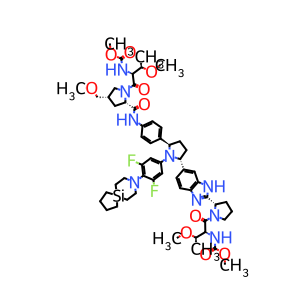 COC[C@H]1C[C@@H](C(=O)Nc2ccc([C@H]3CC[C@H](c4ccc5nc([C@@H]6CCCN6C(=O)[C@@H](NC(=O)OC)[C@@H](C)OC)[nH]c5c4)N3c3cc(F)c(N4CC[Si]5(CCCC5)CC4)c(F)c3)cc2)N(C(=O)[C@@H](NC(=O)OC)[C@@H](C)OC)C1